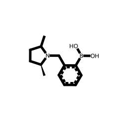 CC1CC[C@H](C)N1Cc1ccccc1B(O)O